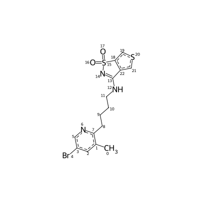 Cc1cc(Br)cnc1CCCCNC1=NS(=O)(=O)c2cscc21